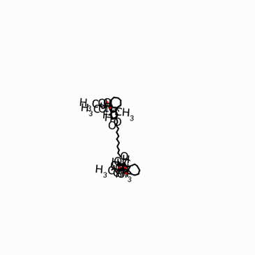 CC(C)(C)OC(=O)N[C@H]1C2CCCCC[C@]1(C)c1cc(OC(=O)CCCCCCCCC(=O)Oc3cc(F)c4c(c3)[C@@]3(C)CCCCC[C@@H](C4)[C@@H]3NC(=O)OC(C)(C)C)cc(F)c1C2